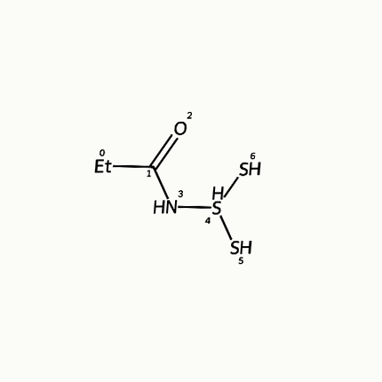 CCC(=O)N[SH](S)S